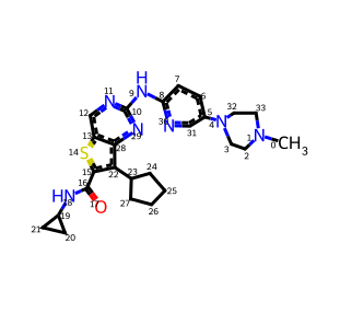 CN1CCN(c2ccc(Nc3ncc4sc(C(=O)NC5CC5)c(C5CCCC5)c4n3)nc2)CC1